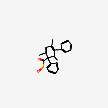 CC1=CC(C)=C(c2ccccc2)C(C)C1(C(=O)P=O)c1ccccc1